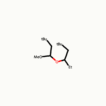 CCC(CC(C)(C)C)OC(CC(C)(C)C)OC